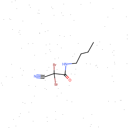 CCCCNC(=O)C(Br)(Br)C#N